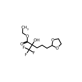 CCOC(=O)C(O)(CCCC1OCCO1)C(F)(F)F